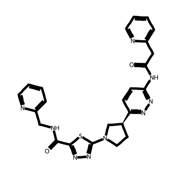 O=C(Cc1ccccn1)Nc1ccc([C@H]2CCN(c3nnc(C(=O)NCc4ccccn4)s3)C2)nn1